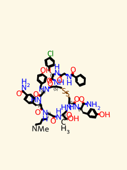 CNCCCC[C@@H]1NC(=O)[C@@H](Cc2ccc(C(N)=O)cc2)NC(=O)[C@H](Cc2ccc(O)cc2)NC(=O)[C@H](NC(=O)[C@H](Cc2ccc(Cl)cc2)NC(=O)CNC(=O)c2ccccc2)CSSC[C@@H](C(=O)N[C@H](Cc2ccc(O)cc2)C(N)=O)NC(=O)[C@H]([C@@H](C)O)NC1=O